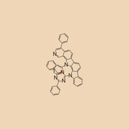 c1ccc(-c2nc(-c3ccccc3)nc(-n3c4ccccc4c4ccc5c6ccc7c(-c8ccccc8)cncc7c6n(-c6ccccc6)c5c43)n2)cc1